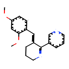 COc1ccc(C=C2CCCN=C2c2cccnc2)c(OC)c1